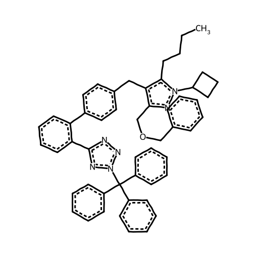 CCCCc1c(Cc2ccc(-c3ccccc3-c3nnn(C(c4ccccc4)(c4ccccc4)c4ccccc4)n3)cc2)c(COCc2ccccc2)nn1C1CCC1